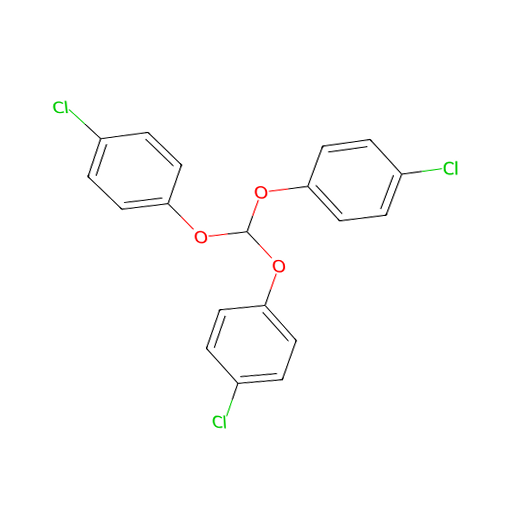 Clc1ccc(OC(Oc2ccc(Cl)cc2)Oc2ccc(Cl)cc2)cc1